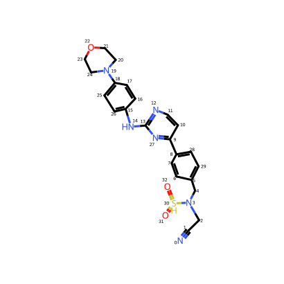 N#CCN(Cc1ccc(-c2ccnc(Nc3ccc(N4CCOCC4)cc3)n2)cc1)[SH](=O)=O